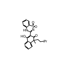 CC(C)CCC1(C)C(=O)C(C2=NS(=O)(=O)c3c[c]ccc3N2)=C(O)c2ccccc21